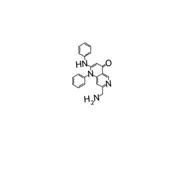 NCc1cc2c(cn1)c(=O)cc(Nc1ccccc1)n2-c1ccccc1